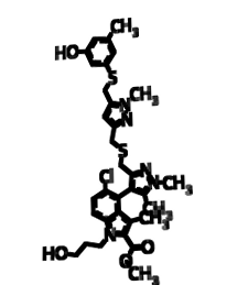 COC(=O)c1c(C)c2c(-c3c(CSCc4cc(CSc5cc(C)cc(O)c5)n(C)n4)nn(C)c3C)c(Cl)ccc2n1CCCO